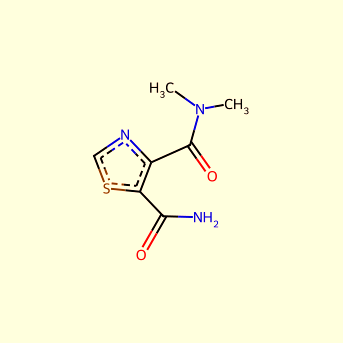 CN(C)C(=O)c1ncsc1C(N)=O